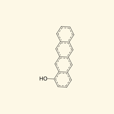 Oc1cccc2cc3cc4ccccc4cc3cc12